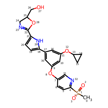 CS(=O)(=O)c1ccc(Oc2cc(OC3CC3)cc(-c3ccc(C4=NCC(CO)O4)[nH]3)c2)cn1